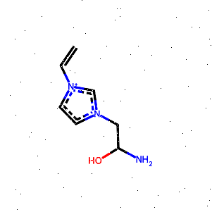 C=C[n+]1ccn(CC(N)O)c1